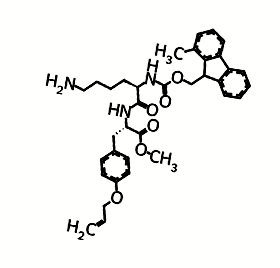 C=CCOc1ccc(C[C@H](NC(=O)[C@@H](CCCCN)NC(=O)OCC2c3ccccc3-c3cccc(C)c32)C(=O)OC)cc1